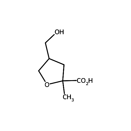 CC1(C(=O)O)CC(CO)CO1